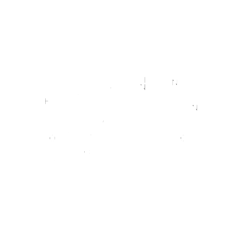 Fc1cc(CCNc2cc(Cl)ncn2)cc2c1OCCO2